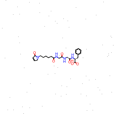 O=C(CCCCCN1CC=CC1=O)NCC(=O)NCC(=O)N[C@@H](Cc1ccccc1)C(=O)O